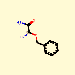 NC(=O)[C@H](N)OCc1ccccc1